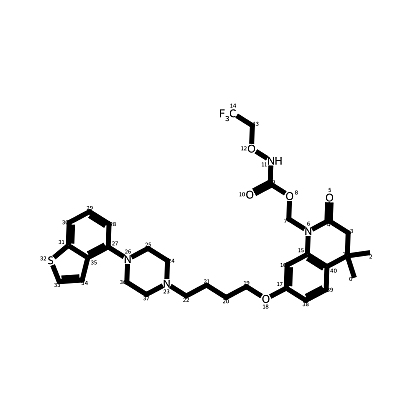 CC1(C)CC(=O)N(COC(=O)NOCC(F)(F)F)c2cc(OCCCCN3CCN(c4cccc5sccc45)CC3)ccc21